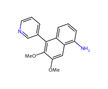 COc1cc2c(N)cccc2c(-c2cccnc2)c1OC